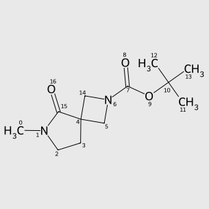 CN1CCC2(CN(C(=O)OC(C)(C)C)C2)C1=O